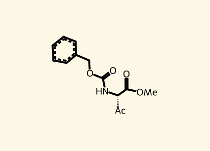 COC(=O)[C@@H](NC(=O)OCc1ccccc1)C(C)=O